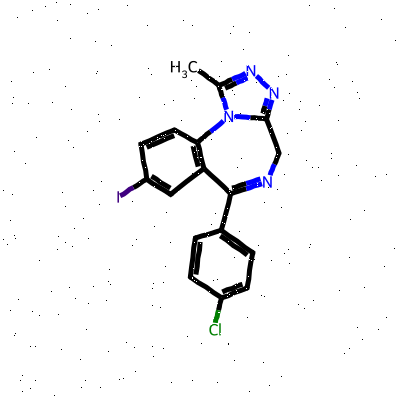 Cc1nnc2n1-c1ccc(I)cc1C(c1ccc(Cl)cc1)=NC2